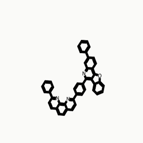 c1ccc(-c2ccc3c(c2)nc(-c2ccc(-c4ccc5ccc6ccc(-c7ccccc7)nc6c5n4)cc2)c2c4ccccc4oc32)cc1